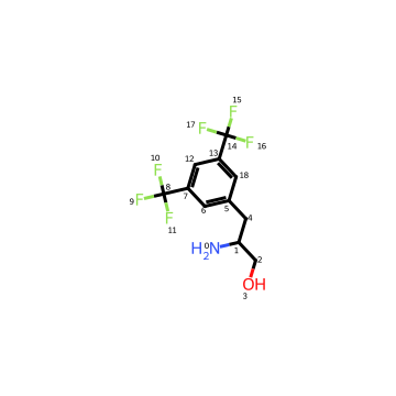 NC(CO)Cc1cc(C(F)(F)F)cc(C(F)(F)F)c1